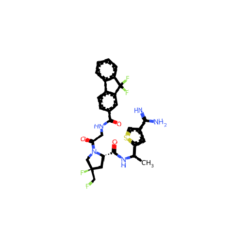 CC(NC(=O)[C@@H]1C[C@](F)(CF)CN1C(=O)CNC(=O)c1ccc2c(c1)C(F)(F)c1ccccc1-2)c1cc(C(=N)N)cs1